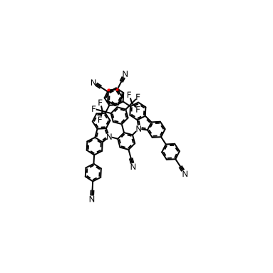 N#Cc1ccc(-c2ccc3c4ccc(-c5ccc(C#N)cc5)cc4n(-c4cc(C#N)cc(-n5c6cc(-c7ccc(C#N)cc7)ccc6c6ccc(-c7ccc(C#N)cc7)cc65)c4-c4cc(C(F)(F)F)cc(C(F)(F)F)c4)c3c2)cc1